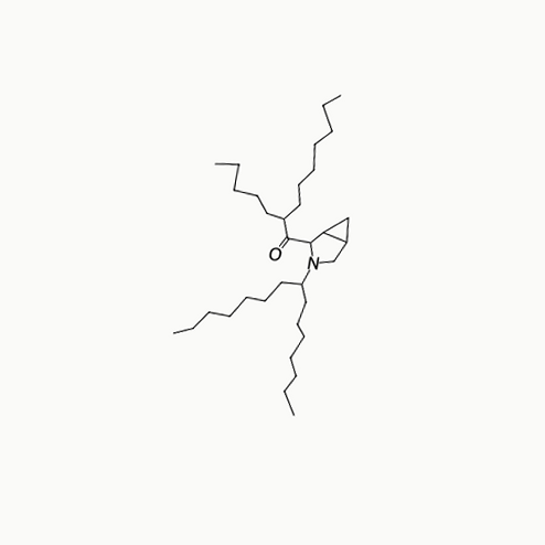 CCCCCCCC(CCCCC)C(=O)C1C2CC2CN1C(CCCCCCC)CCCCCCC